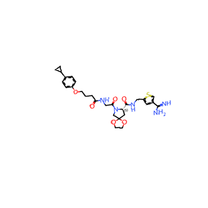 N=C(N)c1csc(CNC(=O)[C@@H]2CC3(CN2C(=O)CNC(=O)CCCOc2ccc(C4CC4)cc2)OCCO3)c1